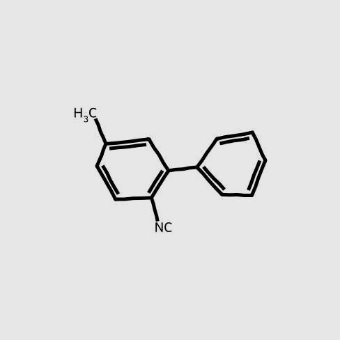 [C-]#[N+]c1ccc(C)cc1-c1ccccc1